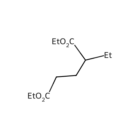 CCOC(=O)CCC(CC)C(=O)OCC